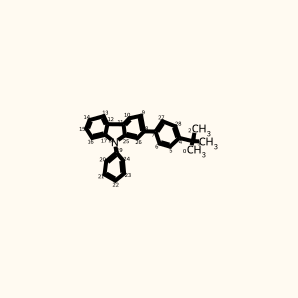 CC(C)(C)c1ccc(-c2ccc3c4ccccc4n(-c4ccccc4)c3c2)cc1